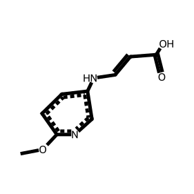 COc1ccc(NC=CC(=O)O)cn1